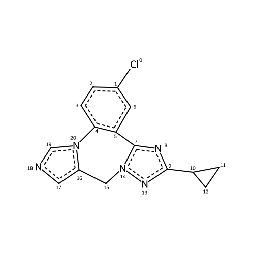 Clc1ccc2c(c1)-c1nc(C3CC3)nn1Cc1cncn1-2